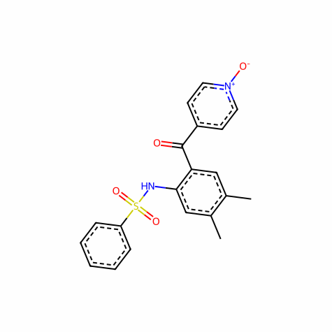 Cc1cc(NS(=O)(=O)c2ccccc2)c(C(=O)c2cc[n+]([O-])cc2)cc1C